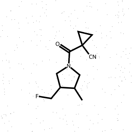 CC1CN(C(=O)C2(C#N)CC2)CC1CF